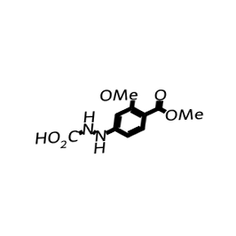 COC(=O)c1ccc(NNC(=O)O)cc1OC